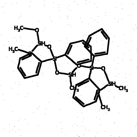 CO[SiH](C)O[Si](O[SiH](C)O[Si](O[SiH](OC)OC)(c1ccccc1)c1ccccc1)(c1ccccc1)c1ccccc1